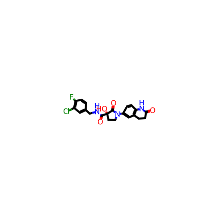 O=C1CCc2cc(N3CCC(O)(C(=O)NCc4ccc(F)c(Cl)c4)C3=O)ccc2N1